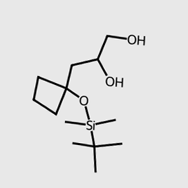 CC(C)(C)[Si](C)(C)OC1(CC(O)CO)CCC1